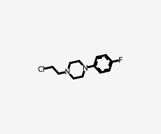 Fc1ccc(N2CCN(CCCl)CC2)cc1